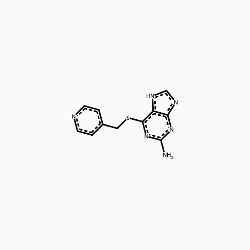 Nc1nc(SCc2ccncc2)c2[nH]cnc2n1